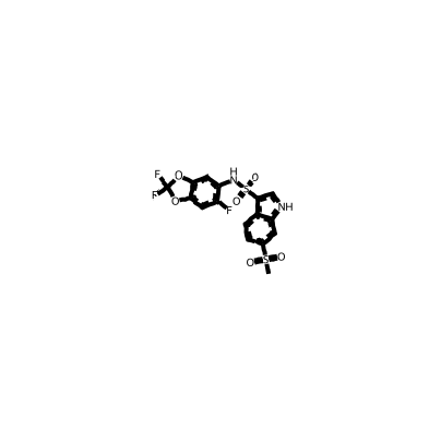 CS(=O)(=O)c1ccc2c(S(=O)(=O)Nc3cc4c(cc3F)OC(F)(F)O4)c[nH]c2c1